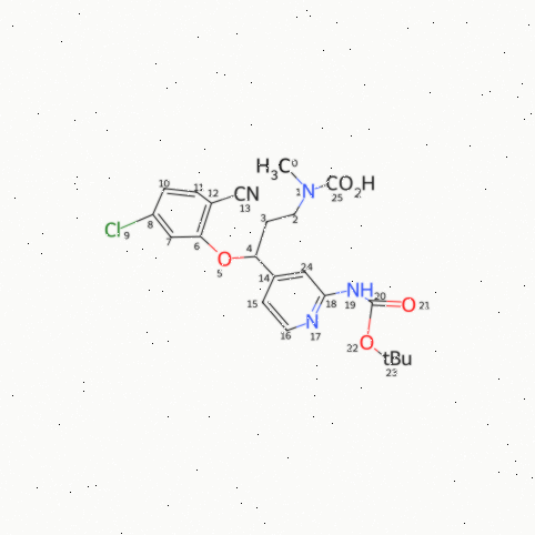 CN(CCC(Oc1cc(Cl)ccc1C#N)c1ccnc(NC(=O)OC(C)(C)C)c1)C(=O)O